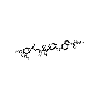 CNC(=O)n1ccc2cc(Oc3ccnc(NC(=O)NCCC(=O)N4CCC(C)(O)CC4)c3)ccc21